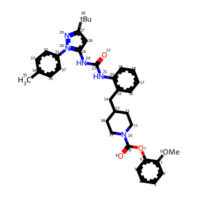 COc1ccccc1OC(=O)N1CCC(Cc2ccccc2NC(=O)Nc2cc(C(C)(C)C)nn2-c2ccc(C)cc2)CC1